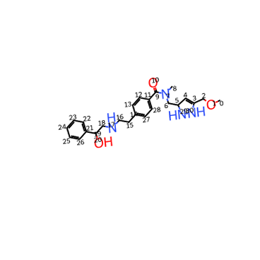 COCC1=CC(CN(C)C(=O)c2ccc(CCNCC(O)c3ccccc3)cc2)NN1